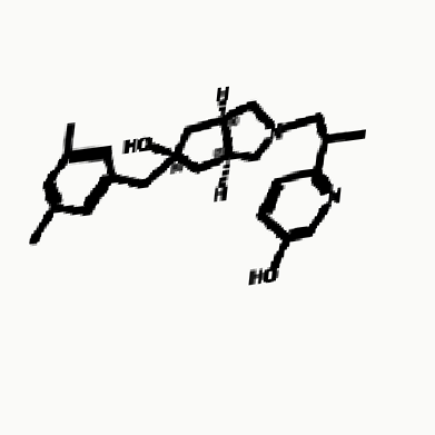 Cc1cc(C)cc(C[C@]2(O)C[C@H]3CN(CC(C)c4ccc(O)cn4)C[C@H]3C2)c1